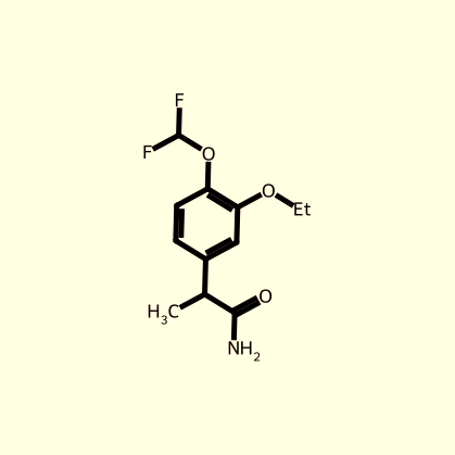 CCOc1cc(C(C)C(N)=O)ccc1OC(F)F